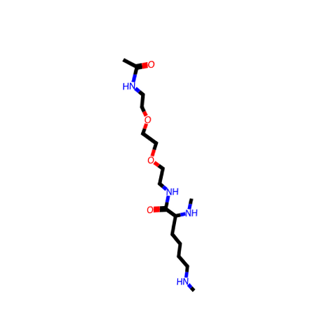 CNCCCCC(NC)C(=O)NCCOCCOCCNC(C)=O